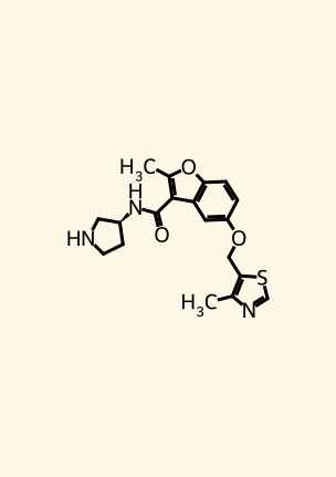 Cc1ncsc1COc1ccc2oc(C)c(C(=O)N[C@H]3CCNC3)c2c1